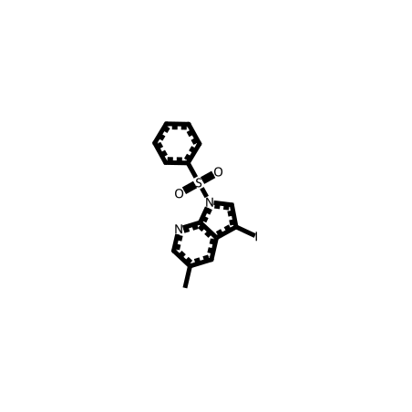 Cc1cnc2c(c1)c(I)cn2S(=O)(=O)c1ccccc1